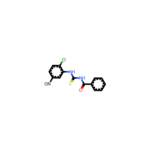 O=Nc1ccc(Cl)c(NC(=S)NC(=O)c2ccccc2)c1